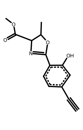 C#Cc1ccc(C2=NC(C(=O)OC)C(C)O2)c(O)c1